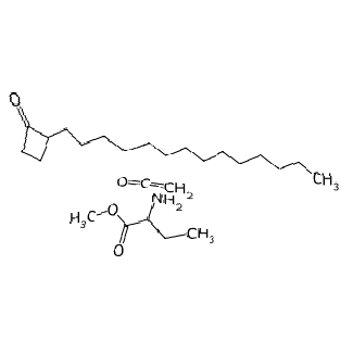 C=C=O.CCC(N)C(=O)OC.CCCCCCCCCCCCCCC1CCC1=O